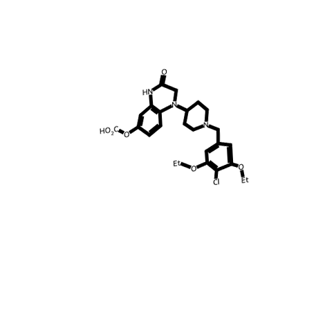 CCOc1cc(CN2CCC(N3CC(=O)Nc4cc(OC(=O)O)ccc43)CC2)cc(OCC)c1Cl